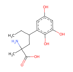 CCC(CC(C)(N)C(=O)O)c1cc(O)cc(O)c1O